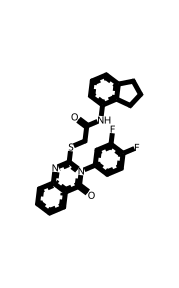 O=C(CSc1nc2ccccc2c(=O)n1-c1ccc(F)c(F)c1)Nc1cccc2c1CCC2